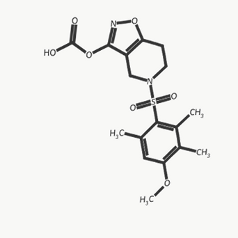 COc1cc(C)c(S(=O)(=O)N2CCc3onc(OC(=O)O)c3C2)c(C)c1C